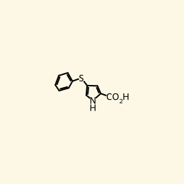 O=C(O)c1cc(Sc2ccccc2)c[nH]1